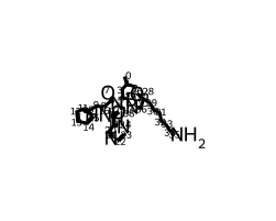 CC(C)CC(NC(=O)C(Cc1ccccc1)NC(=O)c1cnccn1)B1O[C@@](C)(CCCCCCN)CN1C